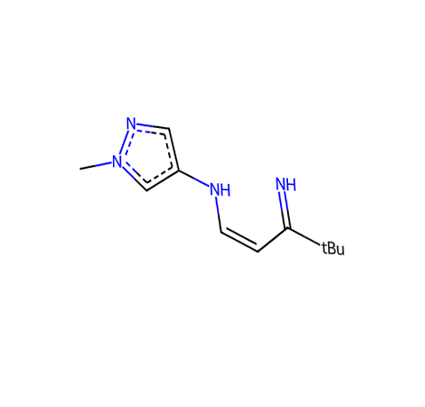 Cn1cc(N/C=C\C(=N)C(C)(C)C)cn1